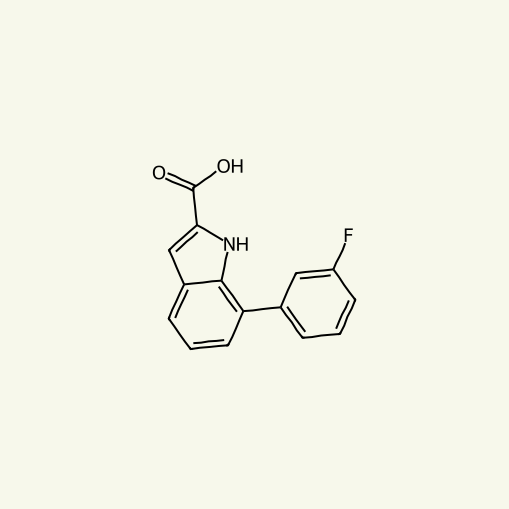 O=C(O)c1cc2cccc(-c3cccc(F)c3)c2[nH]1